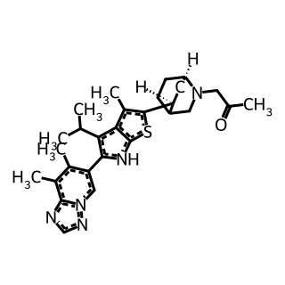 CC(=O)CN1CC2CC[C@@H]1C[C@@H]2c1sc2[nH]c(-c3cn4ncnc4c(C)c3C)c(C(C)C)c2c1C